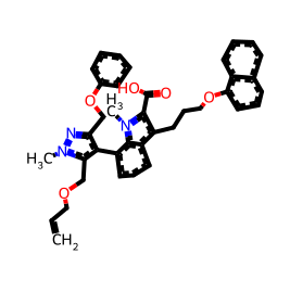 C=CCOCc1c(-c2cccc3c(CCCOc4cccc5ccccc45)c(C(=O)O)n(C)c23)c(COc2ccccc2)nn1C